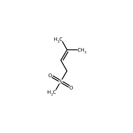 [CH2]S(=O)(=O)CC=C(C)C